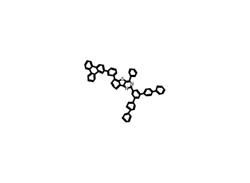 c1ccc(-c2ccc(-c3cc(-c4ccc(-c5ccccc5)cc4)cc(-c4nc(-c5ccccc5)c5sc6c(-c7cccc(-c8ccc9c%10ccccc%10c%10ccccc%10c9c8)c7)cccc6c5n4)c3)cc2)cc1